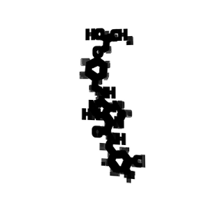 C=C(O)COc1ccc(CNc2n[nH]c3c(C(=O)NCc4ccc(F)c(Cl)c4)ncnc23)cc1